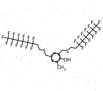 Cc1cc(CSCCC(F)(F)C(F)(F)C(F)(F)C(F)(F)C(F)(F)C(F)(F)F)cc(CSCCC(F)(F)C(F)(F)C(F)(F)C(F)(F)C(F)(F)C(F)(F)F)c1O